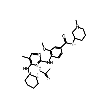 COc1cc(C(=O)NC2CCCN(C)C2)ccc1Nc1ncc(C)c(N[C@@H]2CCCC[C@H]2NC(C)=O)n1